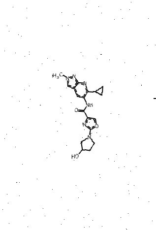 Cn1cc2cc(NC(=O)c3coc(N4CCC(O)C4)n3)c(C3CC3)nc2n1